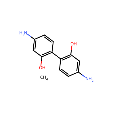 C.Nc1ccc(-c2ccc(N)cc2O)c(O)c1